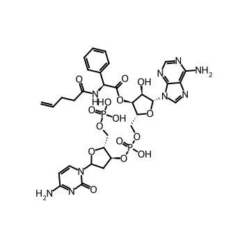 C=CCCC(=O)N[C@H](C(=O)O[C@H]1[C@@H](O)[C@H](n2cnc3c(N)ncnc32)O[C@@H]1COP(=O)(O)O[C@H]1CC(n2ccc(N)nc2=O)O[C@@H]1COP(=O)(O)O)c1ccccc1